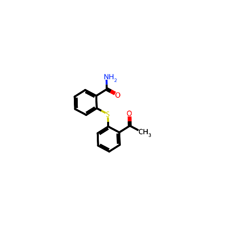 CC(=O)c1ccccc1Sc1ccccc1C(N)=O